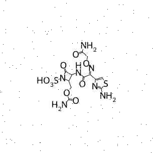 NC(=O)CO/N=C(\C(=O)NC1C(=O)N(S(=O)(=O)O)C1COC(N)=O)c1csc(N)n1